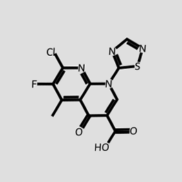 Cc1c(F)c(Cl)nc2c1c(=O)c(C(=O)O)cn2-c1ncns1